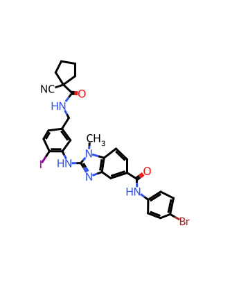 Cn1c(Nc2cc(CNC(=O)C3(C#N)CCCC3)ccc2I)nc2cc(C(=O)Nc3ccc(Br)cc3)ccc21